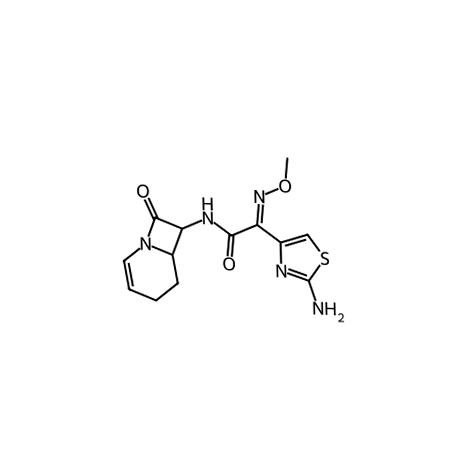 CON=C(C(=O)NC1C(=O)N2C=CCCC12)c1csc(N)n1